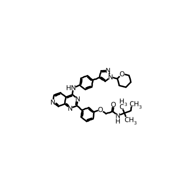 CCC(C)(C)NC(=O)COc1cccc(-c2nc(Nc3ccc(-c4cnn(C5CCCCO5)c4)cc3)c3ccncc3n2)c1